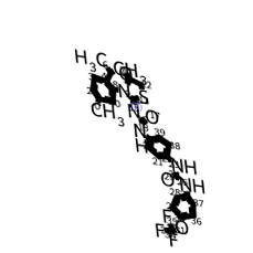 Cc1ccc(C(C)C)c(N2C(=O)CS/C2=N\C(=O)Nc2ccc(NC(=O)Nc3ccc(OC(F)(F)F)cc3)cc2)c1